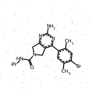 Cc1cc(-c2nc(N)nc3c2CN(C(=O)NC(C)C)C3)c(C)cc1Br